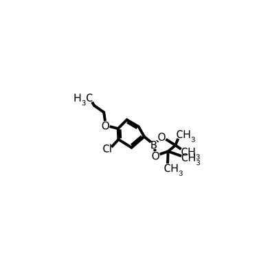 CCCOc1ccc(B2OC(C)(C)C(C)(C)O2)cc1Cl